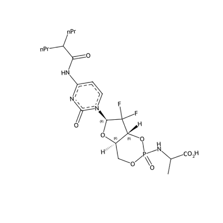 CCCC(CCC)C(=O)Nc1ccn([C@@H]2O[C@@H]3COP(=O)(NC(C)C(=O)O)O[C@H]3C2(F)F)c(=O)n1